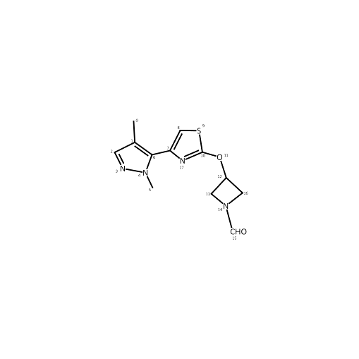 Cc1cnn(C)c1-c1csc(OC2CN(C=O)C2)n1